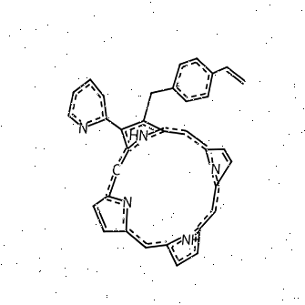 C=Cc1ccc(Cc2c(-c3ccccn3)c3cc4nc(cc5ccc(cc6nc(cc2[nH]3)C=C6)[nH]5)C=C4)cc1